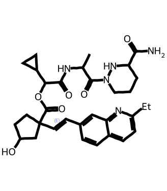 CCc1ccc2ccc(/C=C/C3(C(=O)OC(C(=O)NC(C)C(=O)N4CCCC(C(N)=O)N4)C4CC4)CCC(O)C3)cc2n1